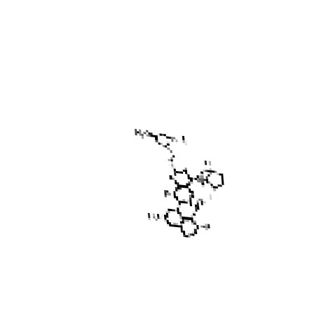 C#Cc1c(F)ccc2cc(O)cc(-c3ncc4c(N5C[C@H]6CC[C@@H](C5)N6)nc(OC[C@@H]5CC(=C)CN5C)nc4c3F)c12